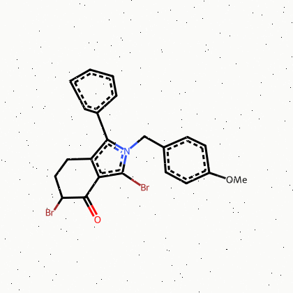 COc1ccc(Cn2c(Br)c3c(c2-c2ccccc2)CCC(Br)C3=O)cc1